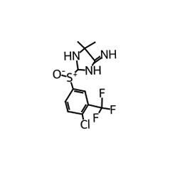 CC1(C)NC([S+]([O-])c2ccc(Cl)c(C(F)(F)F)c2)NC1=N